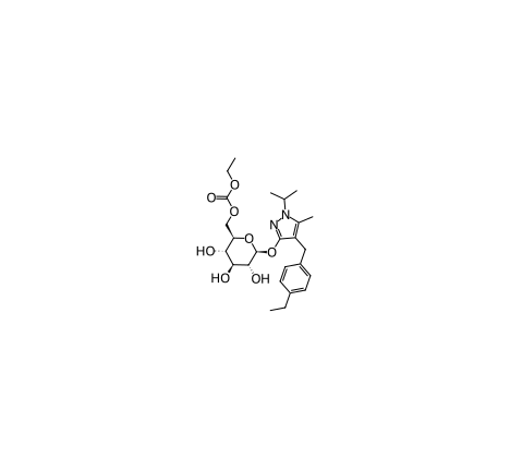 CCOC(=O)OC[C@H]1O[C@@H](Oc2nn(C(C)C)c(C)c2Cc2ccc(CC)cc2)[C@H](O)[C@@H](O)[C@@H]1O